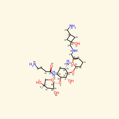 C[C@]1(O)CO[C@H](O[C@@H]2[C@@H](O)[C@H](O[C@@H]3CCC=C(CNCC4(O)CC(CN)C4)O3)[C@@H](N)C[C@H]2NC(=O)CCCN)[C@H](O)C1